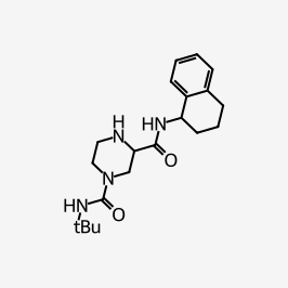 CC(C)(C)NC(=O)N1CCNC(C(=O)NC2CCCc3ccccc32)C1